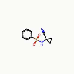 N#CC1(NS(=O)(=O)c2ccccc2)CC1